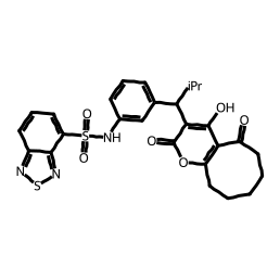 CC(C)C(c1cccc(NS(=O)(=O)c2cccc3nsnc23)c1)c1c(O)c2c(oc1=O)CCCCCC2=O